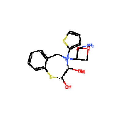 NCC1([N+]2(c3cccs3)Cc3ccccc3SC(O)C2O)COC1